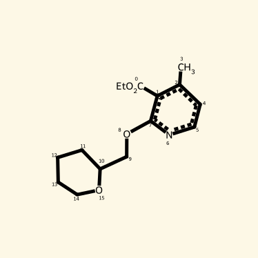 CCOC(=O)c1c(C)ccnc1OCC1CCCCO1